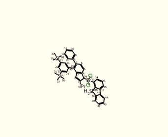 CC(C)C1=Cc2c(ccc(-c3ccccc3)c2-c2cc([Si](C)(C)C)cc([Si](C)(C)C)c2)[CH]1[Zr]([Cl])([Cl])[c]1cccc2c1[SiH2]c1ccccc1-2